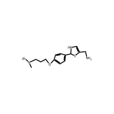 CC(C)N(C)CCCOc1ccc(C2NC=C(CN)S2)cc1